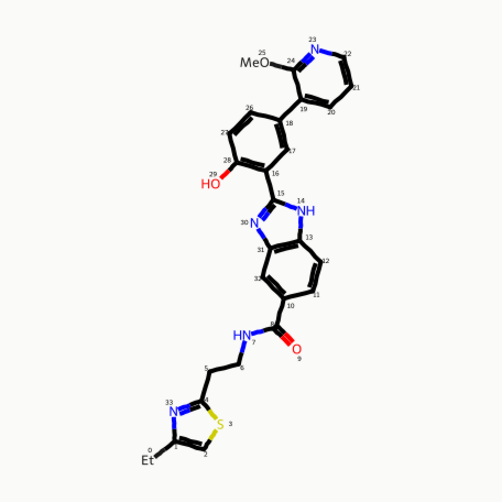 CCc1csc(CCNC(=O)c2ccc3[nH]c(-c4cc(-c5cccnc5OC)ccc4O)nc3c2)n1